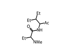 CCC(NC)C(=O)NC(C(C)=O)C(CC)CC